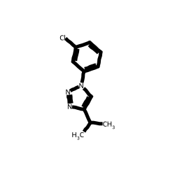 CC(C)c1cn(-c2cccc(Cl)c2)nn1